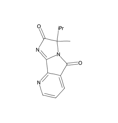 CC(C)C1(C)C(=O)N=C2c3ncccc3C(=O)N21